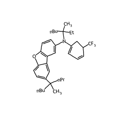 CCCCC(C)(CCC)c1ccc2oc3ccc(N(C4=CC=CC(C(F)(F)F)C4)C(C)(CC)CCCC)cc3c2c1